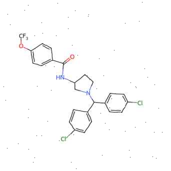 O=C(NC1CCN(C(c2ccc(Cl)cc2)c2ccc(Cl)cc2)C1)c1ccc(OC(F)(F)F)cc1